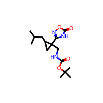 CC(C)CC1CC1(CNC(=O)OC(C)(C)C)c1noc(=O)[nH]1